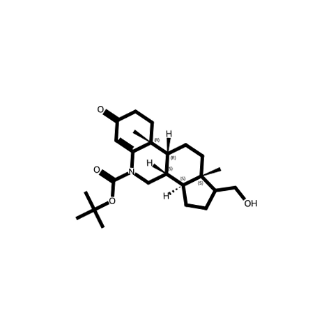 CC(C)(C)OC(=O)N1C[C@@H]2[C@@H](CC[C@]3(C)C(CO)CC[C@@H]23)[C@@]2(C)CCC(=O)C=C12